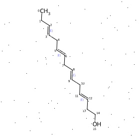 CC/C=C/C/C=C/C/C=C/C/C=C/CCO